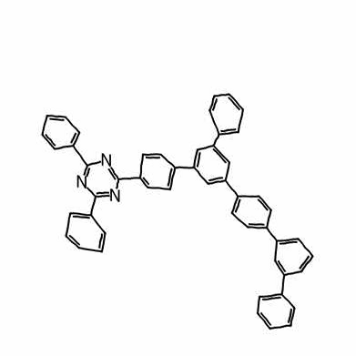 c1ccc(-c2cccc(-c3ccc(-c4cc(-c5ccccc5)cc(-c5ccc(-c6nc(-c7ccccc7)nc(-c7ccccc7)n6)cc5)c4)cc3)c2)cc1